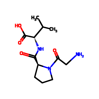 CC(C)[C@H](NC(=O)[C@@H]1CCCN1C(=O)CN)C(=O)O